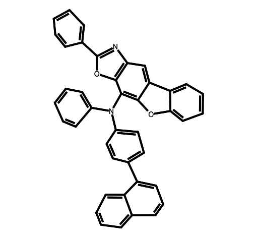 c1ccc(-c2nc3cc4c(oc5ccccc54)c(N(c4ccccc4)c4ccc(-c5cccc6ccccc56)cc4)c3o2)cc1